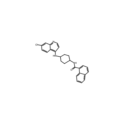 O=C(NC1CCC(Nc2ccnc3cc(Cl)ccc23)CC1)c1cccc2ccccc12